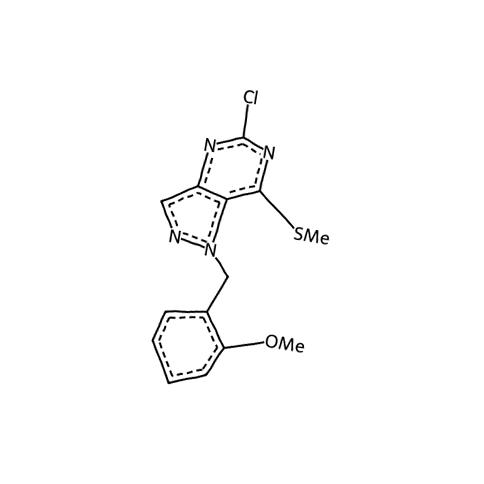 COc1ccccc1Cn1ncc2nc(Cl)nc(SC)c21